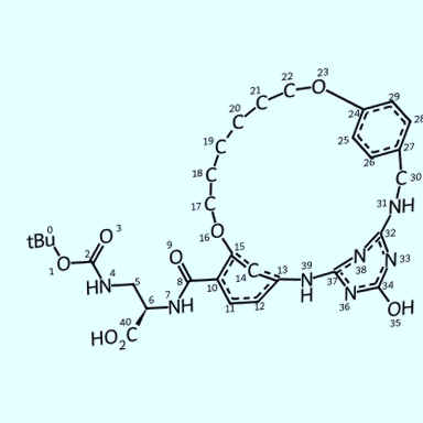 CC(C)(C)OC(=O)NC[C@@H](NC(=O)c1ccc2cc1OCCCCCCOc1ccc(cc1)CNc1nc(O)nc(n1)N2)C(=O)O